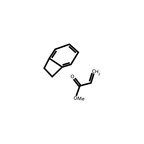 C=CC(=O)OC.c1ccc2c(c1)CC2